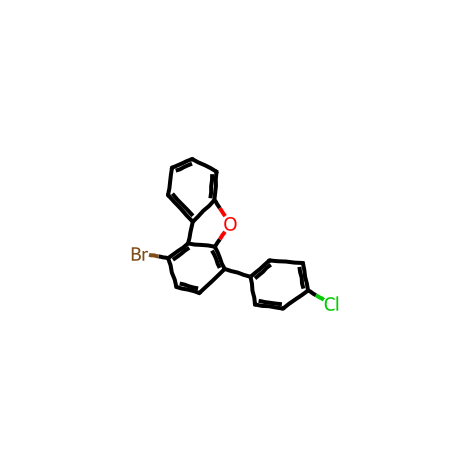 Clc1ccc(-c2ccc(Br)c3c2oc2ccccc23)cc1